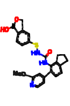 COc1cc(-c2ccc3c(c2NC(=O)NSc2ccc4c(c2)COB4O)CCC3)ccn1